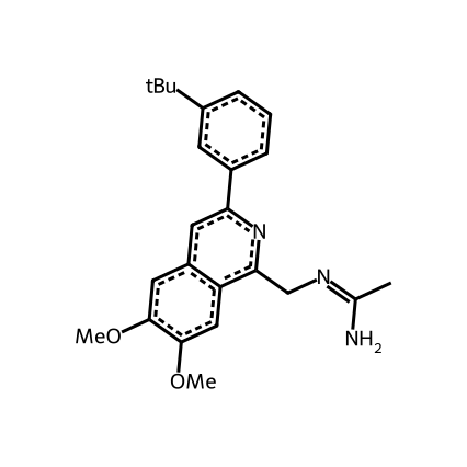 COc1cc2cc(-c3cccc(C(C)(C)C)c3)nc(C/N=C(/C)N)c2cc1OC